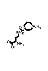 CN1CCCN(S(=O)(=O)NCC[C@H](N)C(=O)O)CC1